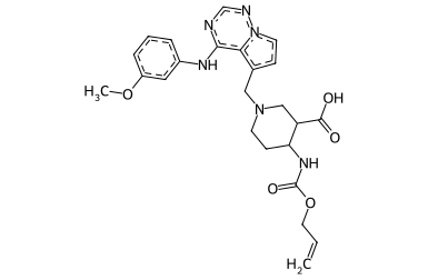 C=CCOC(=O)NC1CCN(Cc2ccn3ncnc(Nc4cccc(OC)c4)c23)CC1C(=O)O